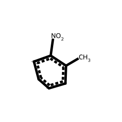 Cc1c[c]c[c]c1[N+](=O)[O-]